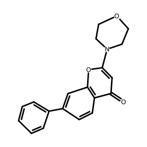 O=c1cc(N2CCOCC2)oc2cc(-c3ccccc3)ccc12